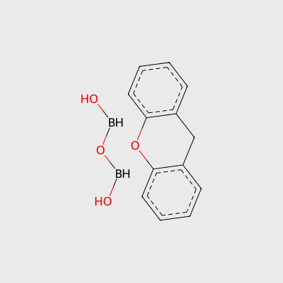 OBOBO.c1ccc2c(c1)Cc1ccccc1O2